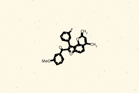 C=C1C=C(C)c2ccc3oc(C(=O)c4cccc(OC)c4)c(-c4cccc(F)c4)c3c2O1